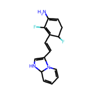 NC1=CCC(F)C(C=CC2=CNC3C=CC=CN23)=C1F